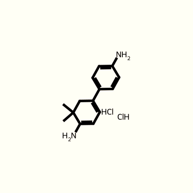 CC1(C)CC(c2ccc(N)cc2)=CC=C1N.Cl.Cl